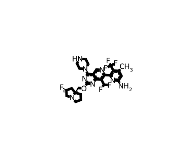 Cc1cc(N)nc(-c2ncc3c(N4CCNCC4)nc(OC[C@@]45CCCN4C[C@H](F)C5)nc3c2C(F)F)c1C(F)(F)F